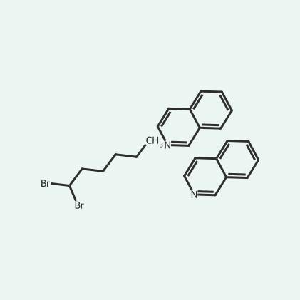 CCCCCC(Br)Br.c1ccc2cnccc2c1.c1ccc2cnccc2c1